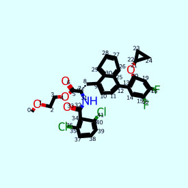 COCCOC(=O)[C@H](Cc1ccc(-c2cc(F)c(F)cc2OC2CC2)c2ccccc12)NC(=O)c1c(Cl)cccc1Cl